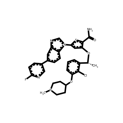 C[C@@H](Oc1cc(-n2cnc3cc(-c4ccc(F)nc4)ccc32)sc1C(N)=O)c1cccc(OC2CCN(C)CC2)c1Cl